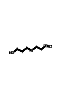 O=CCCSCCCO